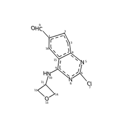 O=Cc1ccc2nc(Cl)nc(N[C]3COC3)c2c1